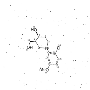 COc1cc(N2CC[C@H](O)[C@H](CO)C2)c(Cl)cn1